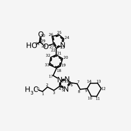 CCCCc1nc(CCC2CCCCC2)nn1Cc1ccc(-c2ncccc2OC(=O)O)cc1